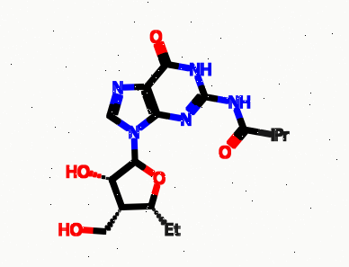 CC[C@H]1OC(n2cnc3c(=O)[nH]c(NC(=O)C(C)C)nc32)[C@@H](O)[C@H]1CO